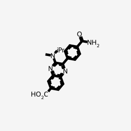 CC(C)N(C)c1nc2cc(C(=O)O)ccc2nc1-c1ccc(C(N)=O)cc1